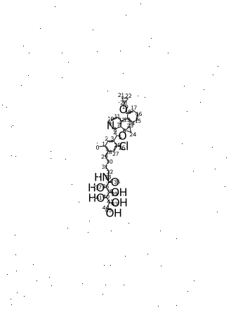 Cc1cc(COC2(c3cnccc3-c3ccccc3OC3CC3)CC2)c(Cl)cc1CCCCNC(=O)C(O)C(O)C(O)C(O)CO